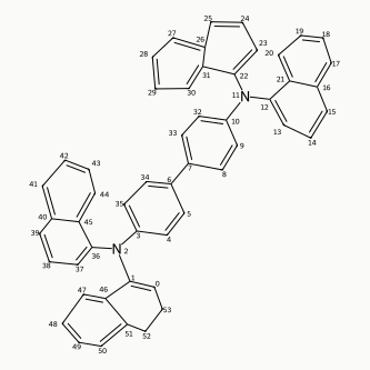 C1=C(N(c2ccc(-c3ccc(N(c4cccc5ccccc45)c4cccc5ccccc45)cc3)cc2)c2cccc3ccccc23)c2ccccc2CC1